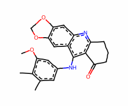 COc1cc(Nc2c3c(nc4cc5c(cc24)OCO5)CCCC3=O)cc(C)c1C